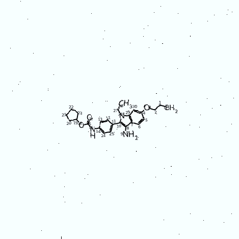 BCCOc1ccc2c(N)c(-c3ccc(NC(=O)OC4CCCC4)cc3)n(CC)c2c1